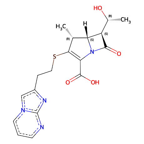 C[C@@H](O)[C@H]1C(=O)N2C(C(=O)O)=C(SCCc3cn4cccnc4n3)[C@H](C)[C@H]12